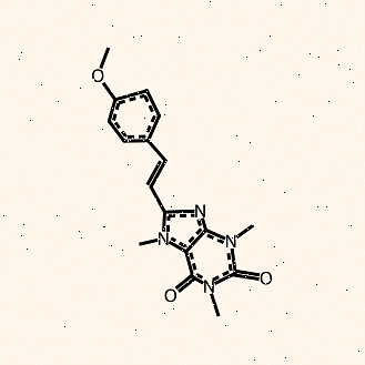 COc1ccc(C=Cc2nc3c(c(=O)n(C)c(=O)n3C)n2C)cc1